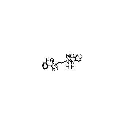 O=C(NCCCc1nnc(-c2ccccc2)n1O)NC1CCOCC1O